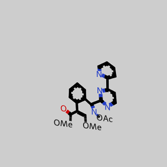 COC=C(C(=O)OC)c1ccccc1C(=NOC(C)=O)c1nccc(-c2ccccn2)n1